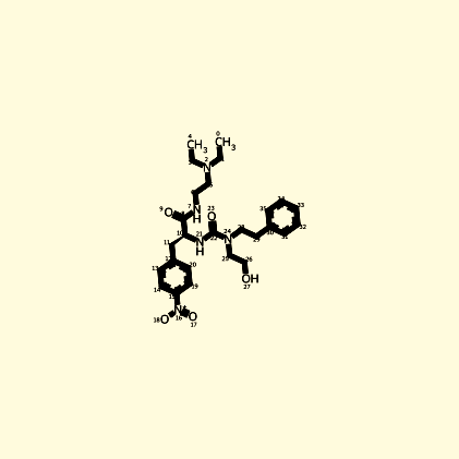 CCN(CC)CCNC(=O)[C@H](Cc1ccc([N+](=O)[O-])cc1)NC(=O)N(CCO)CCc1ccccc1